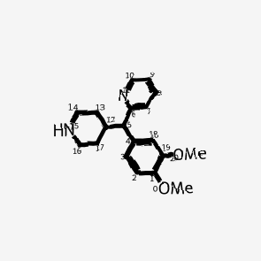 COc1ccc(C(c2ccccn2)C2CCNCC2)cc1OC